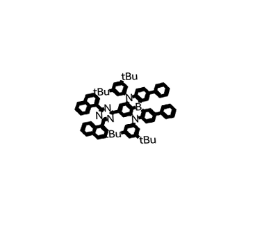 CC(C)(C)c1cc(N2c3ccc(-c4ccccc4)cc3B3c4cc(-c5ccccc5)ccc4N(c4cc(C(C)(C)C)cc(C(C)(C)C)c4)c4cc(-c5nc(-c6cccc7ccccc67)nc(-c6cccc7ccccc67)n5)cc2c43)cc(C(C)(C)C)c1